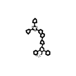 CCC1C(c2ccccc2)=CC(c2ccc(-c3ccc4ccc(-c5nc(-c6ccccc6)nc(-c6ccccc6)n5)cc4c3)cc2)=CC1c1ccccc1